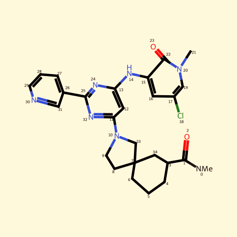 CNC(=O)C1CCCC2(CCN(c3cc(Nc4cc(Cl)cn(C)c4=O)nc(-c4cccnc4)n3)C2)C1